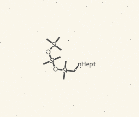 CCCCCCCC[Si](C)(C)O[Si](C)(C)O[Si](C)(C)C